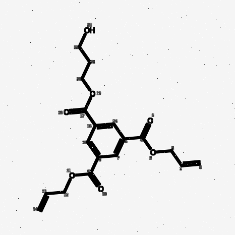 C=CCOC(=O)c1cc(C(=O)OCC=C)cc(C(=O)OCCCO)c1